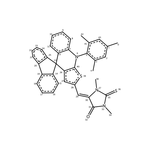 Cc1cc(C)c(N2c3ccccc3C3(c4ccccc4-c4ccccc43)c3cc(/C=C4/C(=O)N(C)C(=S)N4C)sc32)c(C)c1